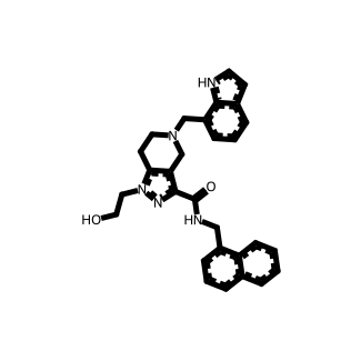 O=C(NCc1cccc2ccccc12)c1nn(CCO)c2c1CN(Cc1cccc3cc[nH]c13)CC2